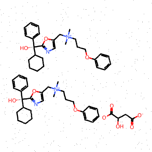 C[N+](C)(CCCOc1ccccc1)Cc1cnc([C@](O)(c2ccccc2)C2CCCCC2)o1.C[N+](C)(CCCOc1ccccc1)Cc1cnc([C@](O)(c2ccccc2)C2CCCCC2)o1.O=C([O-])CC(O)C(=O)[O-]